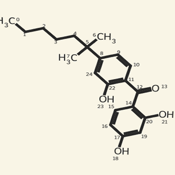 CCCCCC(C)(C)c1ccc(C(=O)c2ccc(O)cc2O)c(O)c1